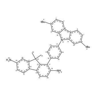 CC(C)(C)c1ccc2c3ccc(C(C)(C)C)cc3n(-c3ccc(-c4c(N)ccc5c4C(C)(C)c4cc(N)ccc4-5)cc3)c2c1